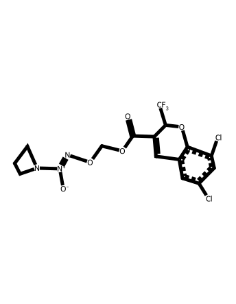 O=C(OCON=[N+]([O-])N1CCC1)C1=Cc2cc(Cl)cc(Cl)c2OC1C(F)(F)F